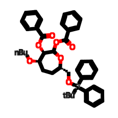 CCCCO[C@@H]1CC[C@@H](CO[Si](c2ccccc2)(c2ccccc2)C(C)(C)C)OC(OC(=O)c2ccccc2)[C@@H]1OC(=O)c1ccccc1